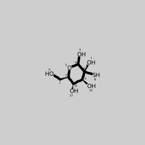 OC[C@H]1OC(O)[C@](O)(S)[C@@H](O)[C@@H]1O